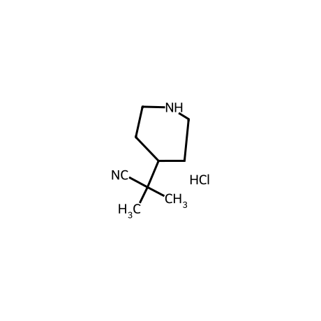 CC(C)(C#N)C1CCNCC1.Cl